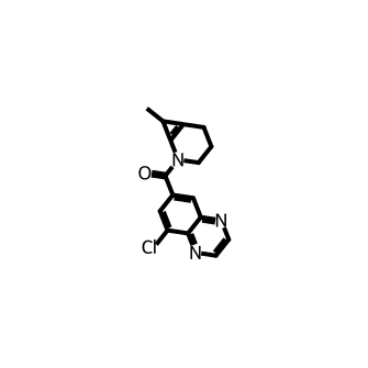 CC1C2=C1N(C(=O)c1cc(Cl)c3nccnc3c1)CCC2